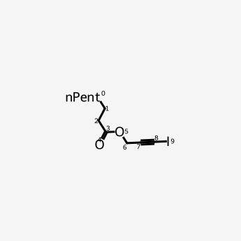 CCCCCCCC(=O)OCC#CI